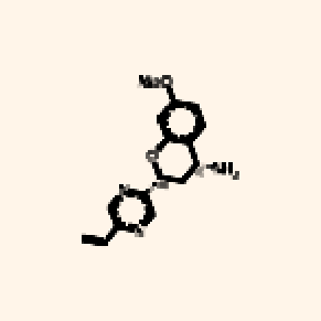 C=Cc1cnc([C@H]2C[C@@H](N)c3ccc(OC)cc3O2)cn1